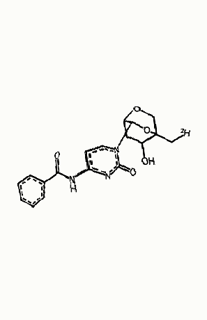 [2H]CC12COC(CC1O)C(n1ccc(NC(=O)c3ccccc3)nc1=O)O2